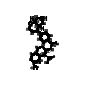 CC(C)c1ccc2c(n1)[C@@H](N(C)C)C(CC(C)c1ccc(N3CCO[C@H]4CNC[C@@H]43)cn1)CC2